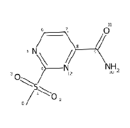 CS(=O)(=O)c1nc[c]c(C(N)=O)n1